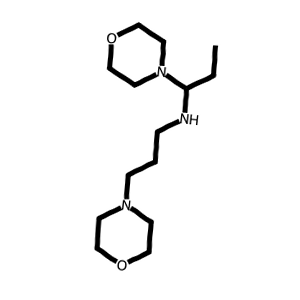 CCC(NCCCN1CCOCC1)N1CCOCC1